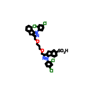 O=S(=O)(O)c1ccc2c(c1)Cc1c(COCCCOCc3nn(-c4ccc(Cl)cc4Cl)c4c3Cc3ccccc3-4)nn(-c3ccc(Cl)cc3Cl)c1-2